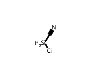 N#C[SiH2]Cl